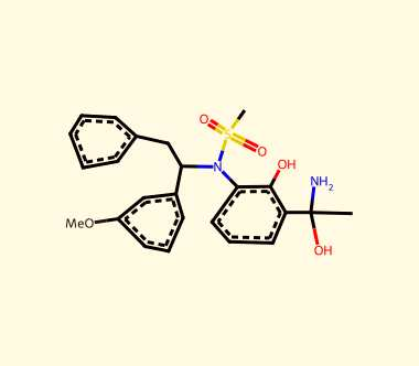 COc1cccc(C(Cc2ccccc2)N(c2cccc(C(C)(N)O)c2O)S(C)(=O)=O)c1